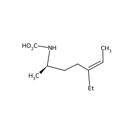 C/C=C(/CC)CC[C@@H](C)NC(=O)O